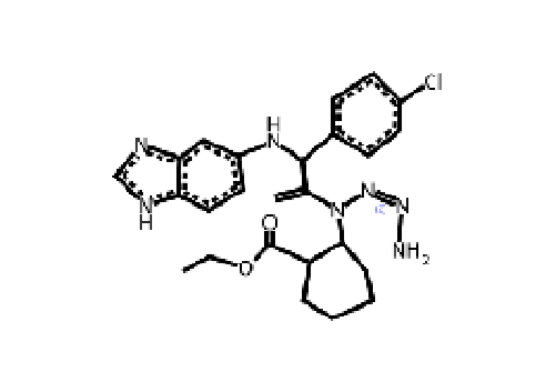 C=C(C(Nc1ccc2[nH]cnc2c1)c1ccc(Cl)cc1)N(/N=N\N)C1CCCCC1C(=O)OCC